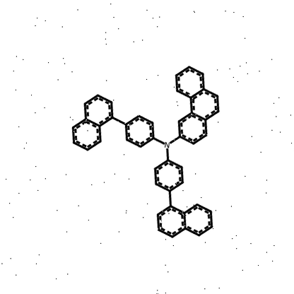 c1ccc2c(-c3ccc(N(c4ccc(-c5cccc6ccccc56)cc4)c4ccc5ccc6ccccc6c5c4)cc3)cccc2c1